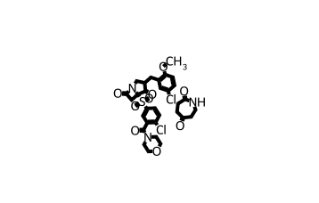 COc1ccc(Cl)cc1CC1CN2C(=O)CC2(S(=O)(=O)c2ccc(Cl)c(C(=O)N3CCOCC3)c2)C1=O.O=C1CCNC(=O)CC1